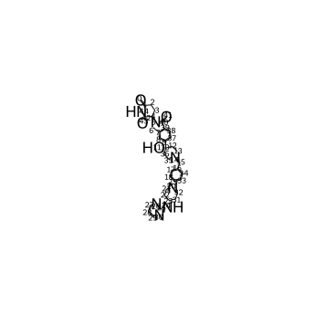 O=C1CCC(N2Cc3cc(C4(O)CCN(Cc5ccc(N6CCC(Nc7ncccn7)CC6)cc5)CC4)ccc3C2=O)C(=O)N1